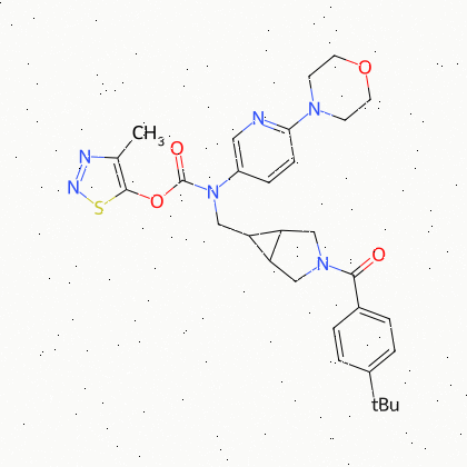 Cc1nnsc1OC(=O)N(CC1C2CN(C(=O)c3ccc(C(C)(C)C)cc3)CC21)c1ccc(N2CCOCC2)nc1